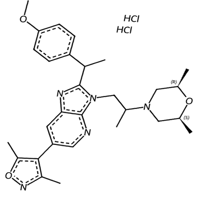 COc1ccc(C(C)c2nc3cc(-c4c(C)noc4C)cnc3n2CC(C)N2C[C@@H](C)O[C@@H](C)C2)cc1.Cl.Cl